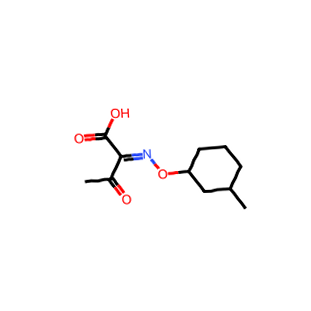 CC(=O)/C(=N\OC1CCCC(C)C1)C(=O)O